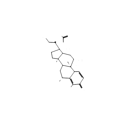 CCC(=O)O[C@@]1(C(=O)CCl)[C@@H](C)C[C@H]2[C@@H]3C[C@H](F)C4=C(F)C(=O)C=C[C@]4(C)[C@@]3(F)[C@@H](O)C[C@@]21C